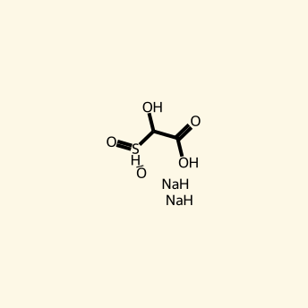 O=C(O)C(O)[SH](=O)=O.[NaH].[NaH]